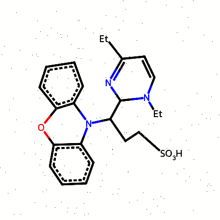 CCC1=NC(C(CCS(=O)(=O)O)N2c3ccccc3Oc3ccccc32)N(CC)C=C1